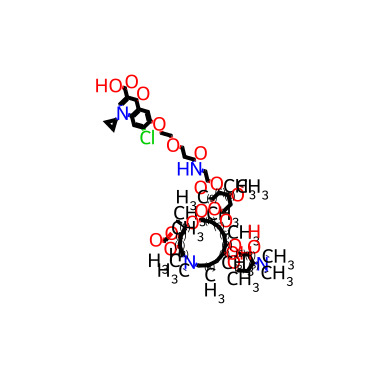 CC[C@H]1OC(=O)[C@H](C)[C@@H](OC2C[C@@](C)(OC)[C@@H](OC(=O)CNC(=O)CCOCCOc3cc4c(=O)c(C(=O)O)cn(C5CC5)c4cc3Cl)[C@H](C)O2)[C@H](C)[C@@H](O[C@@H]2O[C@H](C)C[C@H](N(C)C)[C@H]2O)[C@](C)(O)C[C@@H](C)CN(C)[C@H](C)[C@@H]2OC(=O)O[C@]12C